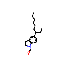 CCCCCCC(CC)c1ccc2c(c1)CCN2C=O